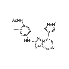 CC(=O)Nc1ccc(Nc2nc3cncc(-c4cnn(C)c4)n3n2)cc1C